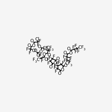 O=C(OC(=O)C(F)(F)C(F)(F)C(F)(F)F)C(F)(F)C(F)(F)C(F)(F)F.O=C(OC(=O)C(F)(F)C(F)(F)F)C(F)(F)C(F)(F)F.O=C(OC(=O)C(F)(F)Cl)C(F)(F)Cl.O=C(OC(=O)C(F)(F)F)C(F)(F)F.O=C1OC(=O)C(F)(F)C(F)(F)C1(F)F.O=C1OC(=O)C(F)(F)C1(F)F